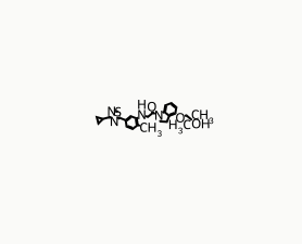 Cc1ccc(-c2nc(C3CC3)ns2)cc1NCC(=O)N1CCc2c(OCC(C)(C)O)cccc21